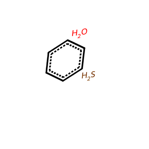 O.S.c1ccccc1